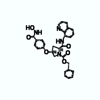 O=C(NO)c1ccc(O[C@H]2C[C@@H](C(=O)Nc3cccc4cccnc34)N(C(=O)OCc3ccccc3)C2)cc1